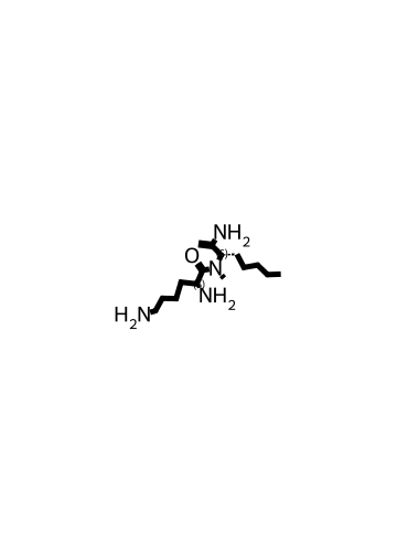 C=C(N)[C@H](CCCCC)N(C)C(=O)[C@@H](N)CCCCN